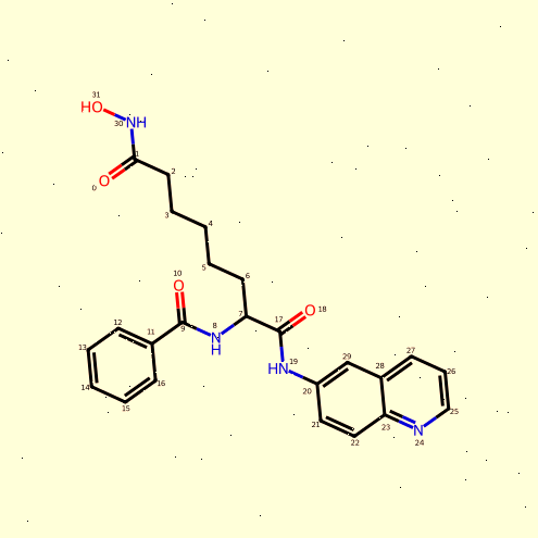 O=C(CCCCCC(NC(=O)c1ccccc1)C(=O)Nc1ccc2ncccc2c1)NO